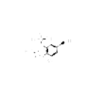 C#Cc1ccc(O[Si](C)(C)C(C)(C)C)c(O[Si](C)(C)C(C)(C)C)c1.[MgH2]